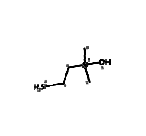 C[Si](C)(O)CC[SiH3]